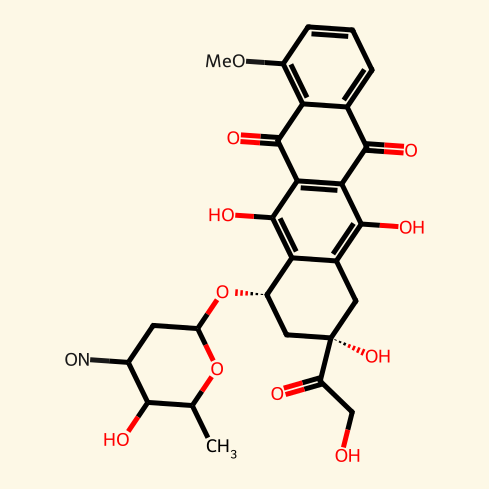 COc1cccc2c1C(=O)c1c(O)c3c(c(O)c1C2=O)C[C@@](O)(C(=O)CO)C[C@@H]3OC1CC(N=O)C(O)C(C)O1